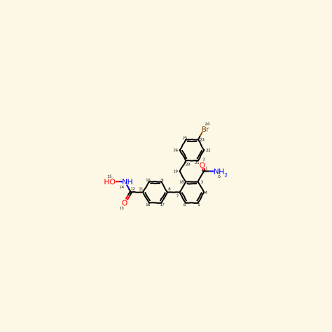 NC(=O)c1cccc(-c2ccc(C(=O)NO)cc2)c1Cc1ccc(Br)cc1